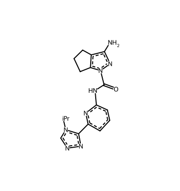 CC(C)n1cnnc1-c1cccc(NC(=O)n2nc(N)c3c2CCC3)n1